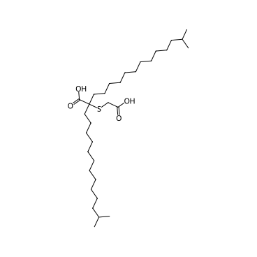 CC(C)CCCCCCCCCCCC(CCCCCCCCCCCC(C)C)(SCC(=O)O)C(=O)O